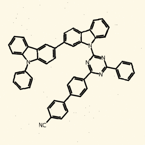 N#Cc1ccc(-c2ccc(-c3nc(-c4ccccc4)nc(-n4c5ccccc5c5ccc(-c6ccc7c(c6)c6ccccc6n7-c6ccccc6)cc54)n3)cc2)cc1